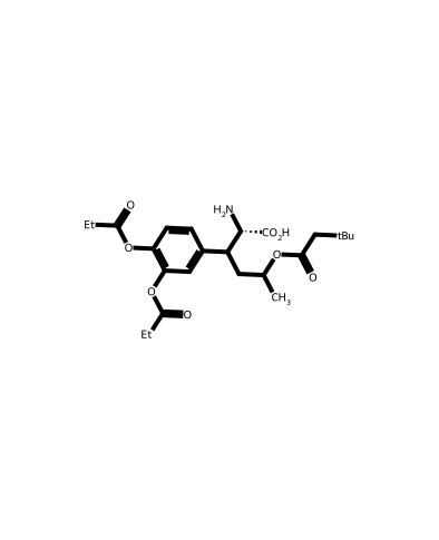 CCC(=O)Oc1ccc(C(CC(C)OC(=O)CC(C)(C)C)[C@H](N)C(=O)O)cc1OC(=O)CC